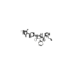 C=CCn1nccc1C(=O)N[C@H](C(=O)Nc1ccc(-c2c(C)n[nH]c2C)nc1)C1CCCCC1